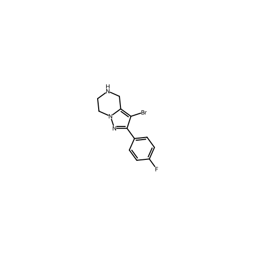 Fc1ccc(-c2nn3c(c2Br)CNCC3)cc1